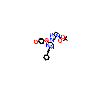 COc1ccc(Oc2nc(C#Cc3ccccc3)ncc2NCC2CCCN2C(=O)OC(C)(C)C)cc1